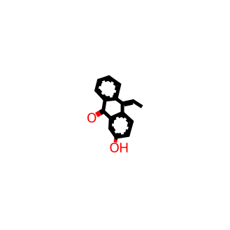 CC=C1c2ccccc2C(=O)c2cc(O)ccc21